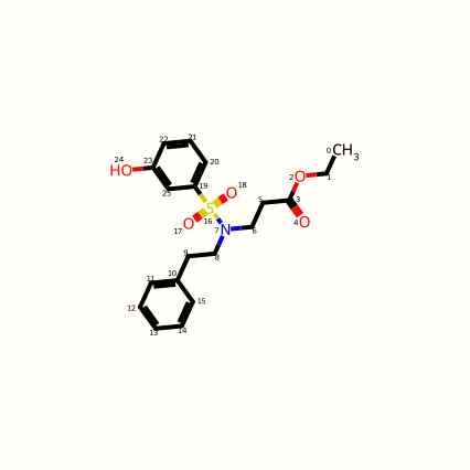 CCOC(=O)CCN(CCc1ccccc1)S(=O)(=O)c1cccc(O)c1